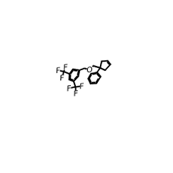 FC(F)(F)c1cc(COCC2(c3ccccc3)CC=CC2)cc(C(F)(F)F)c1